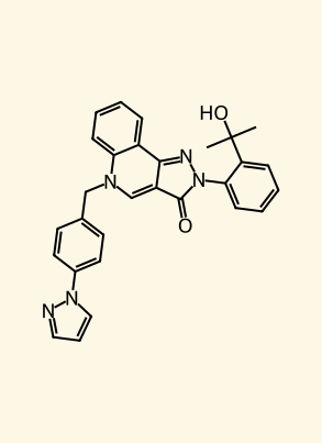 CC(C)(O)c1ccccc1-n1nc2c3ccccc3n(Cc3ccc(-n4cccn4)cc3)cc-2c1=O